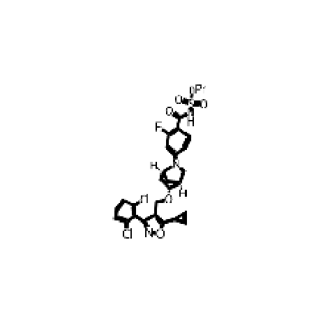 CCCS(=O)(=O)NC(=O)c1ccc(N2C[C@@H]3C[C@H]2C[C@H]3OCc2c(-c3c(Cl)cccc3Cl)noc2C2CC2)cc1F